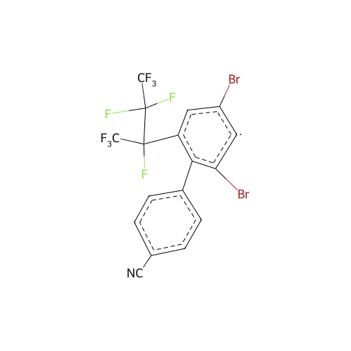 N#Cc1ccc(-c2c(Br)[c]c(Br)cc2C(F)(C(F)(F)F)C(F)(F)C(F)(F)F)cc1